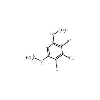 O=C(O)Sc1[c]c(SC(=O)O)c(F)c(F)c1F